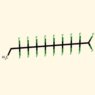 [CH2]CC(F)(F)C(F)(F)C(F)(F)C(F)(F)C(F)(F)C(F)(F)C(F)(F)C(F)(F)C(F)F